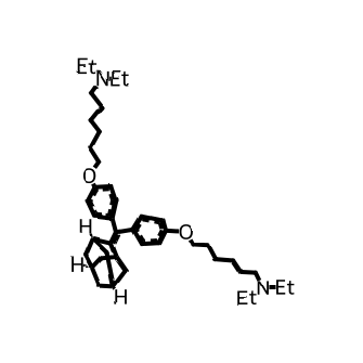 CCN(CC)CCCCCCOc1ccc(C(c2ccc(OCCCCCCN(CC)CC)cc2)=C2C3C[C@H]4C[C@@H](C3)C[C@H]2C4)cc1